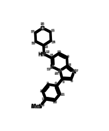 CSc1ccc(-c2cnc3ccc(NC4CCOCC4)nn23)cc1